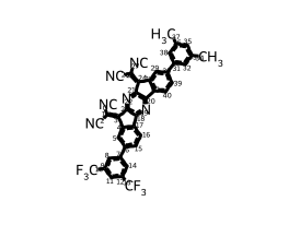 [C-]#[N+]/C(C#N)=C1/c2cc(-c3cc(C(F)(F)F)cc(C(F)(F)F)c3)ccc2-c2nc3c(nc21)/C(=C(\C#N)[N+]#[C-])c1cc(-c2cc(C)cc(C)c2)ccc1-3